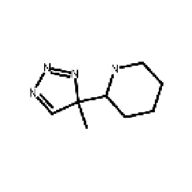 CC1(C2CCCC[N]2)C=NN=N1